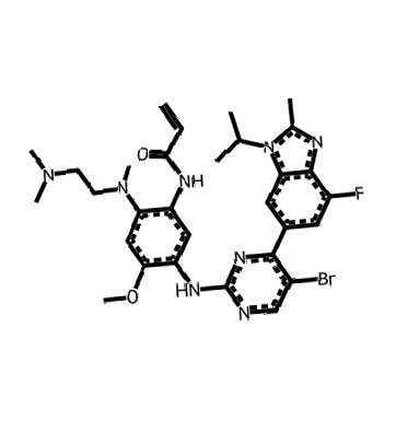 C=CC(=O)Nc1cc(Nc2ncc(Br)c(-c3cc(F)c4nc(C)n(C(C)C)c4c3)n2)c(OC)cc1N(C)CCN(C)C